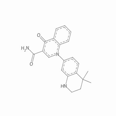 CC1(C)CCNc2cc(-n3cc(C(N)=O)c(=O)c4ccccc43)ccc21